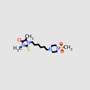 CC1C(=O)N(C)C(=S)N1CCCCCCN1CCN(S(C)(=O)=O)CC1